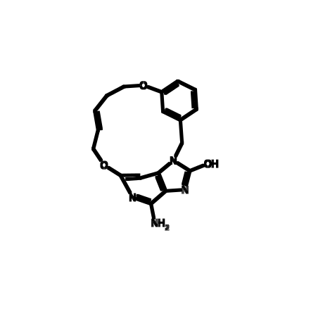 Nc1nc2cc3c1nc(O)n3Cc1cccc(c1)OCC/C=C/CO2